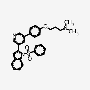 CN(C)CCCOc1ccc(-c2cncc(-c3cc4ccccc4n3S(=O)(=O)c3ccccc3)c2)cc1